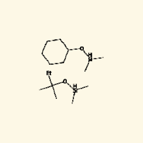 CCC(C)(C)O[SiH](C)C.C[SiH](C)OC1CCCCC1